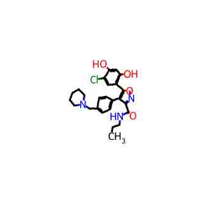 CCCNC(=O)c1noc(-c2cc(Cl)c(O)cc2O)c1-c1ccc(CN2CCCCC2)cc1